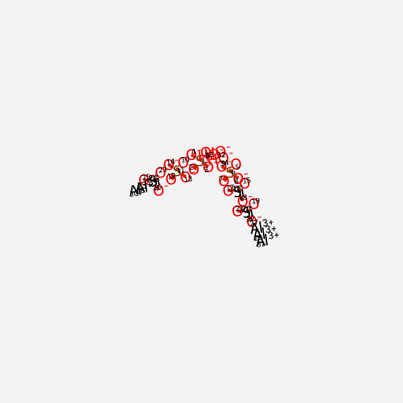 O=S(=O)([O-])[O-].O=S(=O)([O-])[O-].O=S(=O)([O-])[O-].O=[Si]([O-])[O-].O=[Si]([O-])[O-].O=[Si]([O-])[O-].[Al+3].[Al+3].[Al+3].[Al+3].[Al+3].[OH-].[OH-].[OH-]